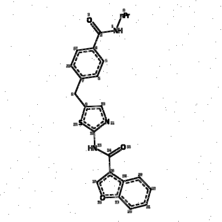 CCCNC(=O)c1ccc(Cc2cnc(NC(=O)c3coc4ccccc34)s2)cc1